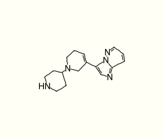 C1=C(c2cnc3cccnn23)CN(C2CCNCC2)CC1